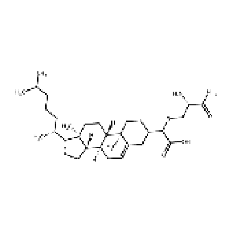 CC(C)CCC[C@@H](C)[C@H]1CC[C@H]2[C@@H]3CC=C4CC(C(SC[C@H](N)C(N)=O)C(=O)O)CC[C@]4(C)[C@H]3CC[C@]12C